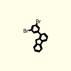 Brc1cc(Br)cc(-c2cccc3c2Cc2ccccc2-3)c1